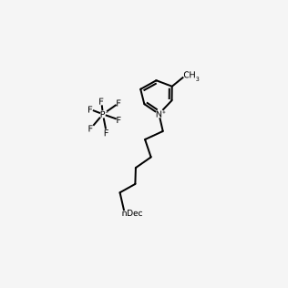 CCCCCCCCCCCCCCCC[n+]1cccc(C)c1.F[P-](F)(F)(F)(F)F